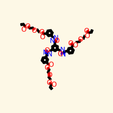 C=CC(=O)OCCOCCOC(=O)c1cccc(-c2noc(-c3cc(-c4nc(-c5cccc(C(=O)OCCOCCOC(=O)C=C)c5)no4)cc(-c4nc(-c5cccc(C(=O)OCCOCCOC(=O)C=C)c5)no4)c3)n2)c1